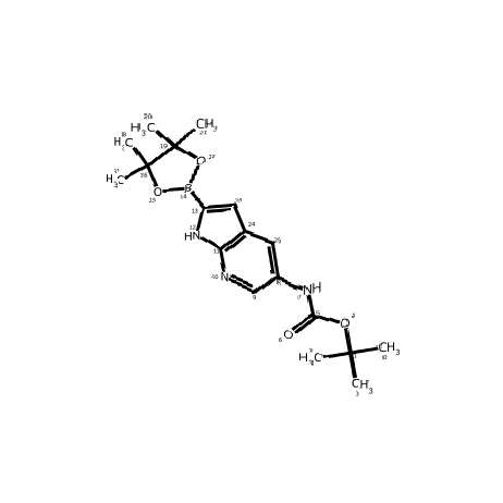 CC(C)(C)OC(=O)Nc1cnc2[nH]c(B3OC(C)(C)C(C)(C)O3)cc2c1